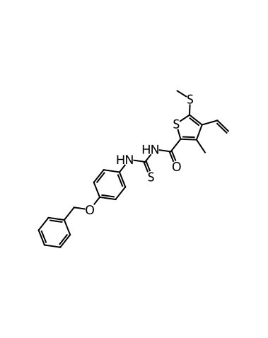 C=Cc1c(SC)sc(C(=O)NC(=S)Nc2ccc(OCc3ccccc3)cc2)c1C